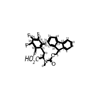 CN(C(=O)OCC1c2ccccc2-c2ccccc21)C(Cc1c(F)c(F)c(F)c(F)c1F)C(=O)O